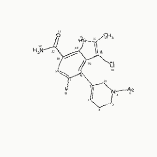 CC(=O)N1CCC=C(c2c(F)cc(C(N)=O)c3[nH]c(C)c(Cl)c23)C1